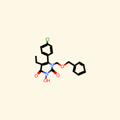 CCc1c(-c2ccc(Cl)cc2)n(COCc2ccccc2)c(=O)n(O)c1=O